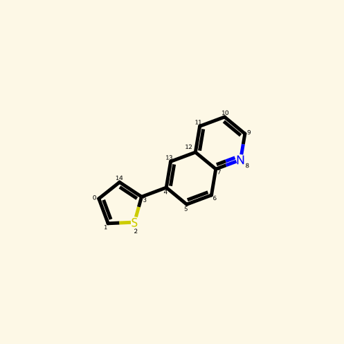 c1csc(-c2ccc3ncccc3c2)c1